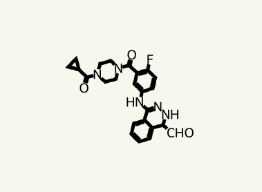 O=CC1NN=C(Nc2ccc(F)c(C(=O)N3CCN(C(=O)C4CC4)CC3)c2)c2ccccc21